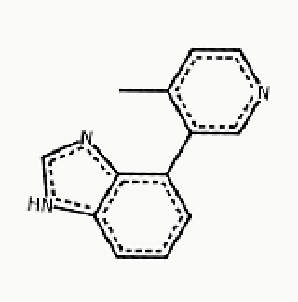 Cc1ccncc1-c1cccc2[nH]cnc12